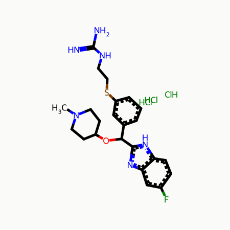 CN1CCC(OC(c2cccc(SCCNC(=N)N)c2)c2nc3cc(F)ccc3[nH]2)CC1.Cl.Cl.Cl